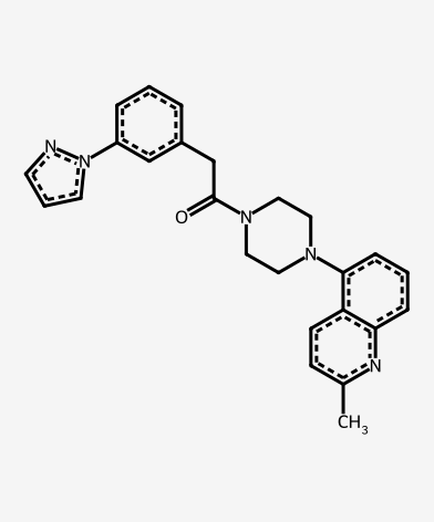 Cc1ccc2c(N3CCN(C(=O)Cc4cccc(-n5cccn5)c4)CC3)cccc2n1